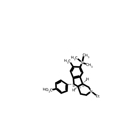 CCN1CC[C@H]2[C@H](c3ccc(C(=O)O)cc3)c3cc(C)c([Si](C)(C)C)cc3[C@H]2C1